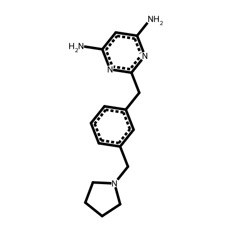 Nc1cc(N)nc(Cc2cccc(CN3CCCC3)c2)n1